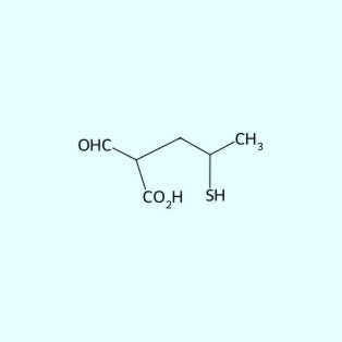 CC(S)CC(C=O)C(=O)O